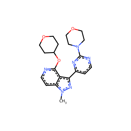 Cn1nc(-c2ccnc(N3CCOCC3)n2)c2c(OC3CCOCC3)nccc21